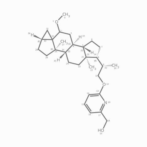 COC1C[C@H]2[C@@H]3CC[C@H]([C@H](C)COc4cccc(CO)n4)[C@@]3(C)CC[C@@H]2[C@@]2(C)CC[C@@H]3CC132